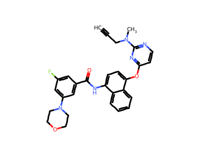 C#CCN(C)c1nccc(Oc2ccc(NC(=O)c3cc(F)cc(N4CCOCC4)c3)c3ccccc23)n1